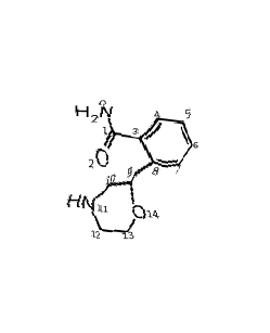 NC(=O)c1ccccc1C1CNCCO1